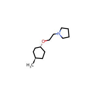 C[C@H]1CC[C@H](OCCN2CCCC2)CC1